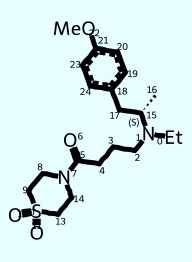 CCN(CCCC(=O)N1CCS(=O)(=O)CC1)[C@@H](C)Cc1ccc(OC)cc1